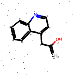 C=C(O)Cc1ccnc2ccccc12